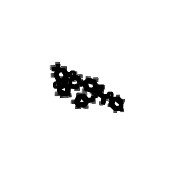 CC(Oc1ccccc1)c1nc2ccc(N3CCN(C4(c5ccccc5)C(=O)CC(C)(C)CC4=O)CC3)cc2n1Cc1ccccc1